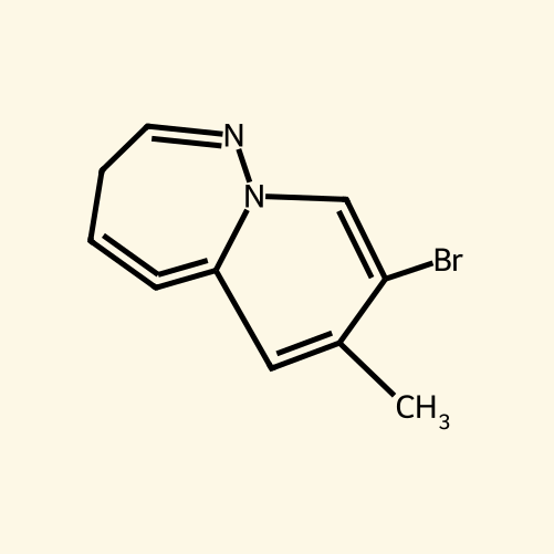 CC1=CC2=C=CCC=NN2C=C1Br